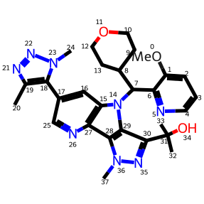 COc1cccnc1C(C1CCOCC1)n1c2cc(-c3c(C)nnn3C)cnc2c2c1c(C(C)(C)O)nn2C